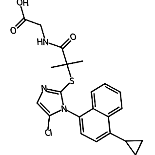 CC(C)(Sc1ncc(Cl)n1-c1ccc(C2CC2)c2ccccc12)C(=O)NCC(=O)O